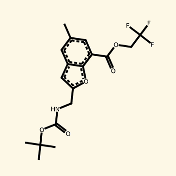 Cc1cc(C(=O)OCC(F)(F)F)c2oc(CNC(=O)OC(C)(C)C)cc2c1